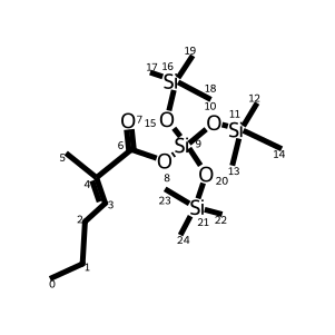 CCC/C=C(\C)C(=O)O[Si](O[Si](C)(C)C)(O[Si](C)(C)C)O[Si](C)(C)C